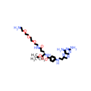 CC(C)(C)OC(=O)[C@@H](CCC(=O)NCCOCCOCCOCCN)NC(=O)c1ccc(NCCc2cnc3nc(N)nc(N)c3n2)cc1